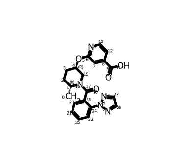 C[C@@H]1CC[C@@H](Oc2cc(C(=O)O)ccn2)CN1C(=O)c1ccccc1-n1nccn1